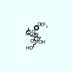 Cc1cnc(Cn2c(Oc3ccc(OC(F)(F)F)cc3)nc3c2C(=O)N(CCCO)C(O)N3C)s1